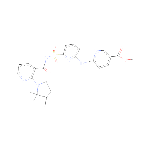 COC(=O)c1ccc(Nc2cccc(S(=O)(=O)NC(=O)c3cccnc3N3CCC(C)C3(C)C)n2)nc1